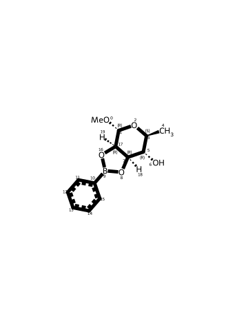 CO[C@@H]1O[C@@H](C)[C@H](O)[C@H]2OB(c3ccccc3)O[C@@H]12